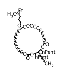 C=C=C=C=C1C(CCCCC)CC(=O)OCCCCCCCCC(OCCCN(C)CC)CCCCCCCCOC(=O)CC1CCCCC